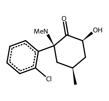 CN[C@]1(c2ccccc2Cl)C[C@H](C)C[C@H](O)C1=O